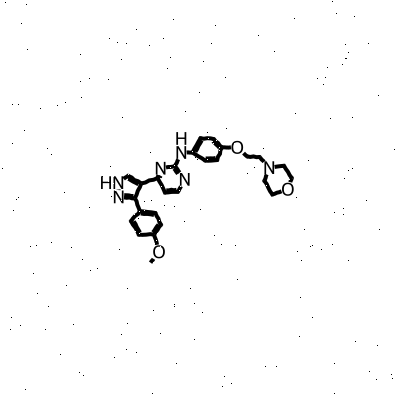 COc1ccc(-c2n[nH]cc2-c2ccnc(Nc3ccc(OCCN4CCOCC4)cc3)n2)cc1